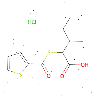 CCC(C)C(SC(=O)c1cccs1)C(=O)O.Cl